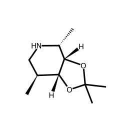 C[C@H]1CN[C@H](C)[C@@H]2OC(C)(C)O[C@@H]21